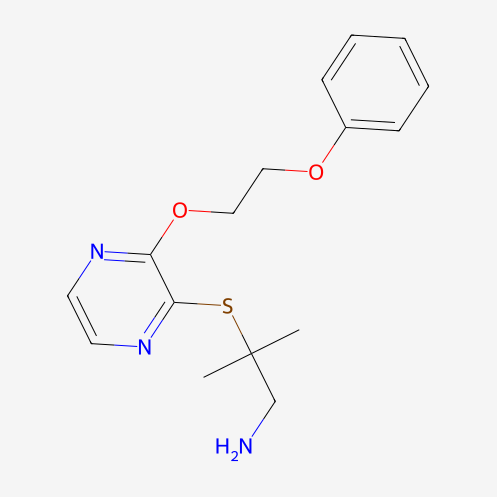 CC(C)(CN)Sc1nccnc1OCCOc1ccccc1